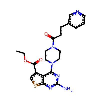 CCOC(=O)c1csc2nc(N)nc(N3CCN(C(=O)CCc4cccnc4)CC3)c12